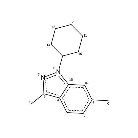 Cc1ccc2c(C)nn(C3CCCCC3)c2c1